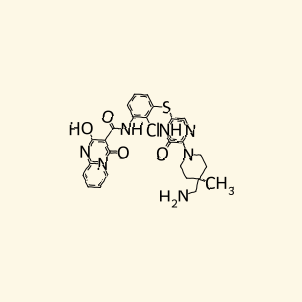 CC1(CN)CCN(c2ncc(Sc3cccc(NC(=O)c4c(O)nc5ccccn5c4=O)c3Cl)[nH]c2=O)CC1